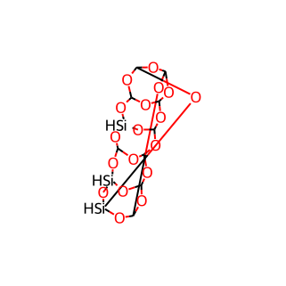 O1C2OC3OC4OC5OC6OC1OC1OC(O2)O[SiH](O3)OC(O4)O[SiH](O5)O[SiH](O1)O6